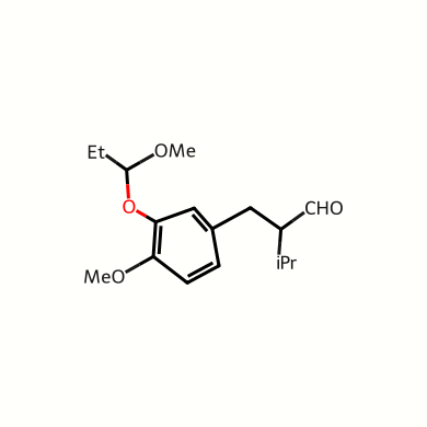 CCC(OC)Oc1cc(CC(C=O)C(C)C)ccc1OC